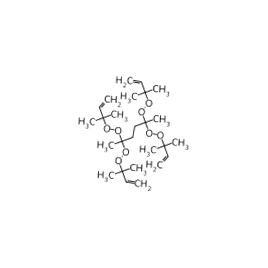 C=CC(C)(C)OOC(C)(CCC(C)(OOC(C)(C)C=C)OOC(C)(C)C=C)OOC(C)(C)C=C